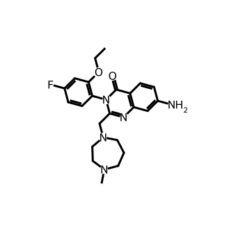 CCOc1cc(F)ccc1-n1c(CN2CCCN(C)CC2)nc2cc(N)ccc2c1=O